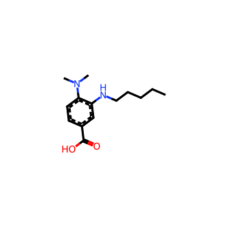 CCCCCNc1cc(C(=O)O)ccc1N(C)C